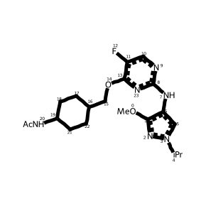 COc1nn(C(C)C)cc1Nc1ncc(F)c(OCC2CCC(NC(C)=O)CC2)n1